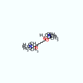 CN1C(C)(C)CC(OC(=O)CCCCCCCCC(=O)C2CC(C)(C)N(C)C(C)(C)C2)CC1(C)C